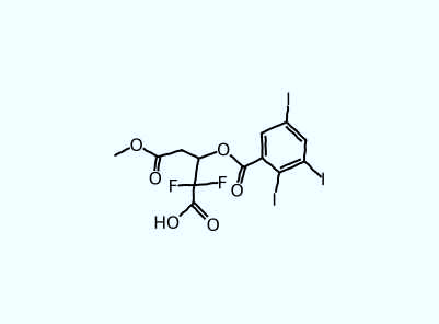 COC(=O)CC(OC(=O)c1cc(I)cc(I)c1I)C(F)(F)C(=O)O